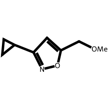 COCc1cc(C2CC2)no1